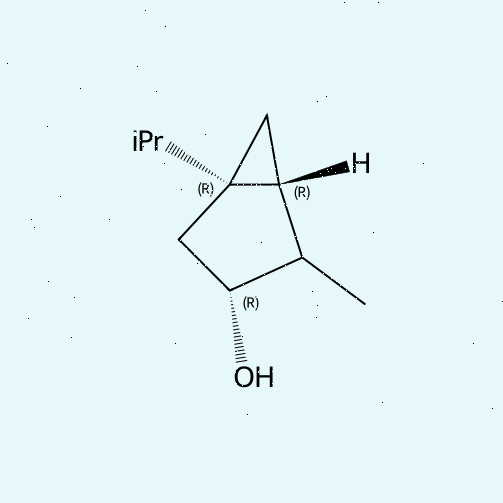 CC1[C@H](O)C[C@@]2(C(C)C)C[C@H]12